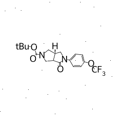 CC(C)(C)OC(=O)N1CC2C(=O)N(c3ccc(OC(F)(F)F)cc3)C[C@H]2C1